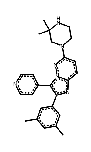 Cc1cc(C)cc(-c2nc3ccc(N4CCNC(C)(C)C4)nn3c2-c2ccncc2)c1